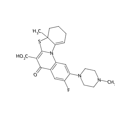 CN1CCN(c2cc3c(cc2F)c(=O)c(C(=O)O)c2n3C3=CCCCC3(C)S2)CC1